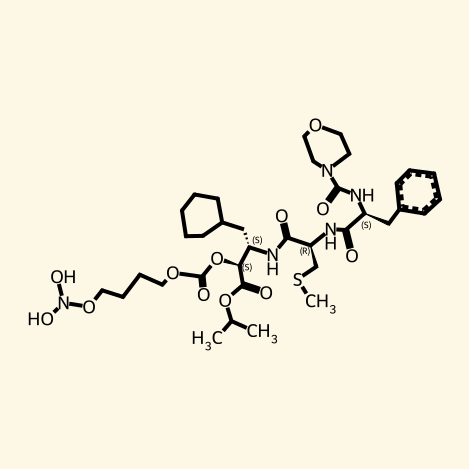 CSC[C@H](NC(=O)[C@H](Cc1ccccc1)NC(=O)N1CCOCC1)C(=O)N[C@@H](CC1CCCCC1)[C@H](OC(=O)OCCCCON(O)O)C(=O)OC(C)C